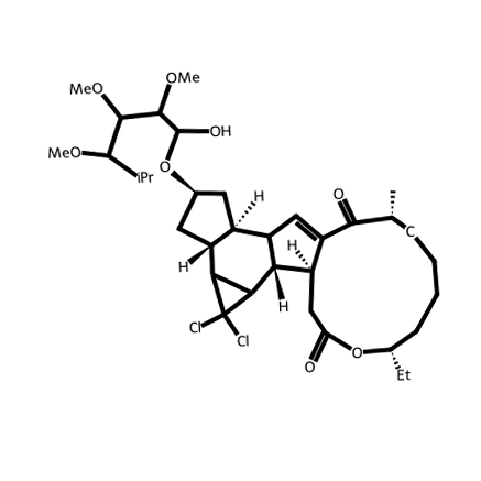 CC[C@H]1CCCC[C@@H](C)C(=O)C2=CC3[C@@H](C4C([C@@H]5C[C@@H](OC(O)C(OC)C(OC)C(OC)C(C)C)C[C@@H]35)C4(Cl)Cl)[C@@H]2CC(=O)O1